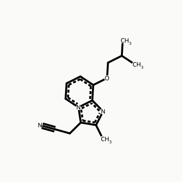 Cc1nc2c(OCC(C)C)cccn2c1CC#N